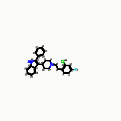 Fc1ccc(CCN2CCC(c3c(-c4ccccc4)[nH]c4ccccc34)CC2)c(Cl)c1